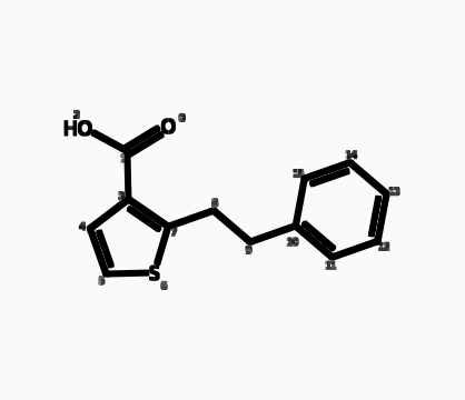 O=C(O)c1ccsc1CCc1ccccc1